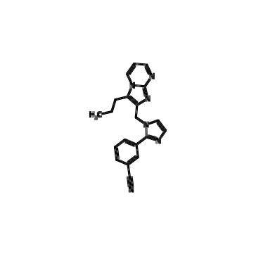 CCCc1c(Cn2ccnc2-c2cccc(C#N)c2)nc2ncccn12